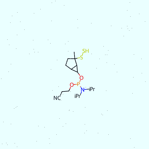 CC(C)N(C(C)C)P(OCCC#N)OC1C2CCC(C)(SS)C21